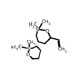 C=CC1CCC[Si](C)(C)O1.C[Si]1(C)CCCCO1